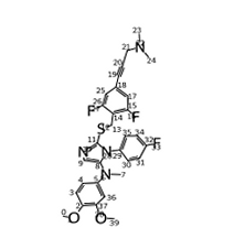 COc1ccc(N(C)c2cnc(SCc3c(F)cc(C#CCN(C)C)cc3F)n2-c2ccc(F)cc2)cc1OC